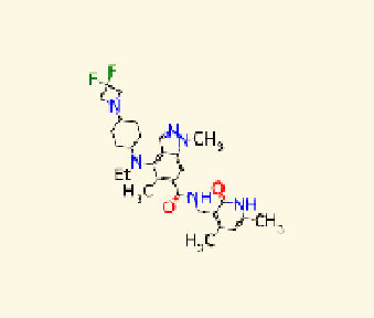 CCN(c1c(C)c(C(=O)NCc2c(C)cc(C)[nH]c2=O)cc2c1cnn2C)C1CCC(N2CC(F)(F)C2)CC1